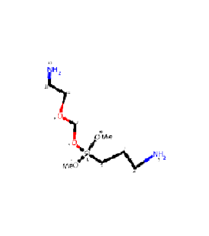 CO[Si](CCCN)(OC)OCOCCN